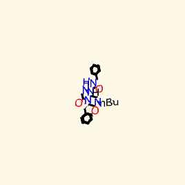 CCCCN1C[C@@H]2N(C(=O)NCc3ccccc3)NCC(=O)N2[C@@H](Cc2ccccc2)C1=O